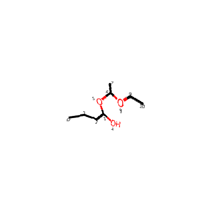 CCCC(O)OC(C)OCC